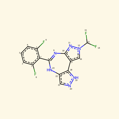 Fc1cccc(F)c1C1=Nc2nn(C(F)F)cc2-c2[nH]ncc2N1